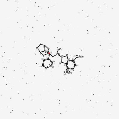 CCCN(CC1CC2CCC(C1)N2Cc1ccccc1)C1Cc2c(OC)ccc(OC)c2C1